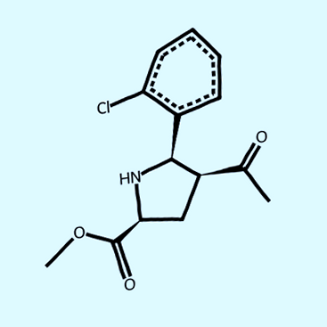 COC(=O)[C@@H]1C[C@H](C(C)=O)[C@H](c2ccccc2Cl)N1